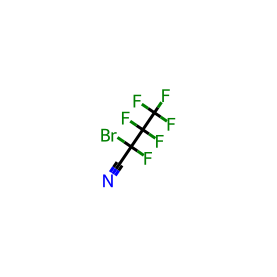 N#CC(F)(Br)C(F)(F)C(F)(F)F